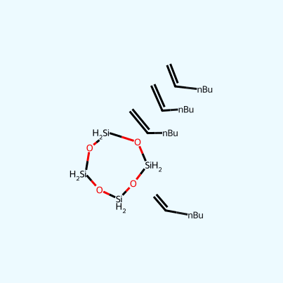 C=CCCCC.C=CCCCC.C=CCCCC.C=CCCCC.O1[SiH2]O[SiH2]O[SiH2]O[SiH2]1